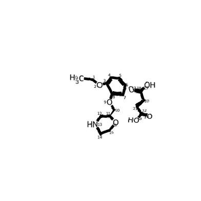 CCOc1ccccc1OC[C@@H]1CNCCO1.O=C(O)/C=C/C(=O)O